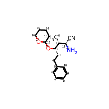 C[C@@H]([C@H](CCc1ccccc1)OC1CCCCO1)[C@@H](N)C#N